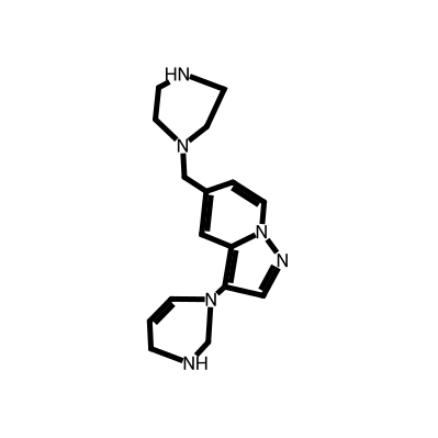 C1=CN(c2cnn3ccc(CN4CCNCC4)cc23)CNC1